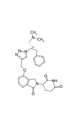 CN(C)C[C@H](Cc1ccccc1)n1cc(COc2cccc3c2CN(C2CCC(=O)NC2=O)C3=O)nn1